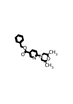 C[C@@H]1CN(c2ccc(C(=O)OCc3ccccc3)cn2)C[C@H](C)O1